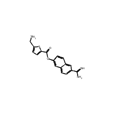 N=C(N)c1ccc2cc(OC(=O)c3ccc(CN)s3)ccc2c1